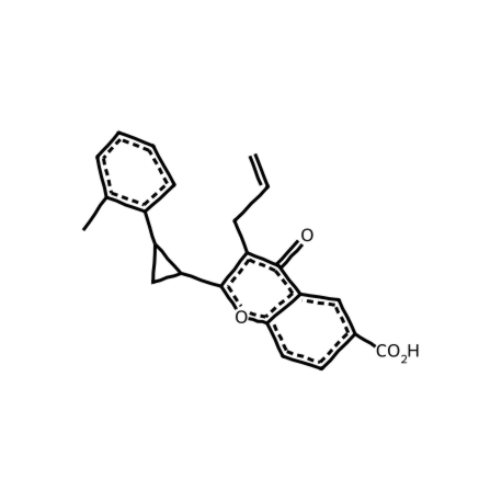 C=CCc1c(C2CC2c2ccccc2C)oc2ccc(C(=O)O)cc2c1=O